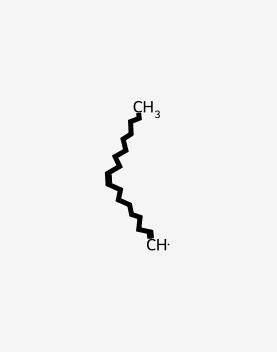 [CH]=CCCCCCC/C=C\CCCCCCCC